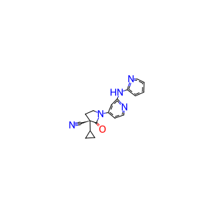 N#C[C@@]1(C2CC2)CCN(c2ccnc(Nc3ccccn3)c2)C1=O